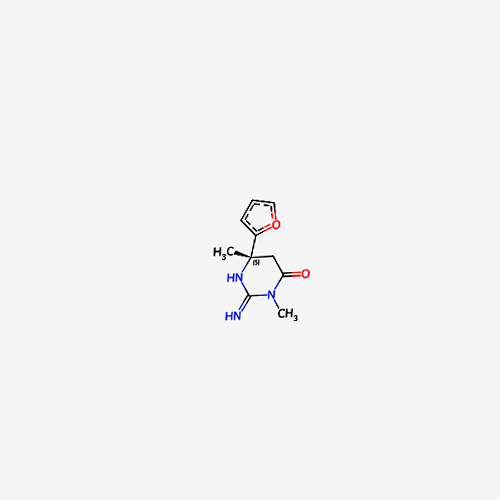 CN1C(=N)N[C@](C)(c2ccco2)CC1=O